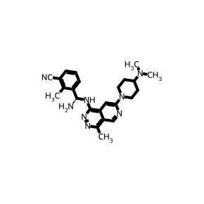 Cc1c(C#N)cccc1[C@@H](N)Nc1nnc(C)c2cnc(N3CCC(N(C)C)CC3)cc12